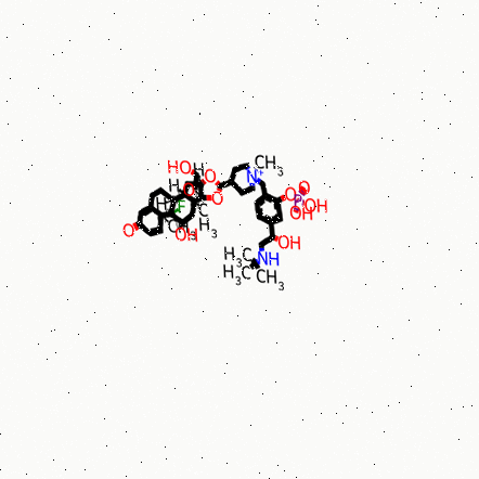 CC(C)(C)NCC(O)c1ccc(C[N+]2(C)CCC(C3O[C@@H]4C[C@H]5[C@@H]6CCC7=CC(=O)C=C[C@]7(C)[C@@]6(F)[C@@H](O)C[C@]5(C)[C@]4(C(=O)CO)O3)CC2)c(OP(=O)(O)O)c1